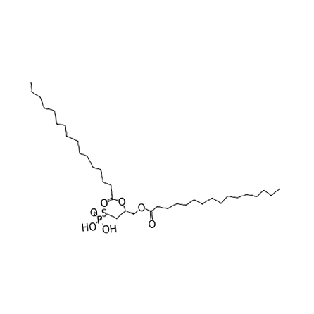 CCCCCCCCCCCCCCCC(=O)OC[C@@H](CSP(=O)(O)O)OC(=O)CCCCCCCCCCCCCCC